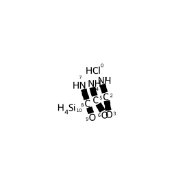 Cl.N=C=O.N=C=O.N=C=O.[SiH4]